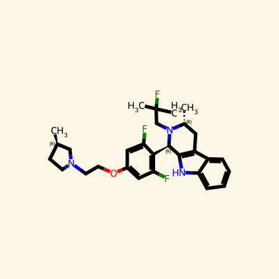 C[C@@H]1CCN(CCOc2cc(F)c([C@@H]3c4[nH]c5ccccc5c4C[C@@H](C)N3CC(C)(C)F)c(F)c2)C1